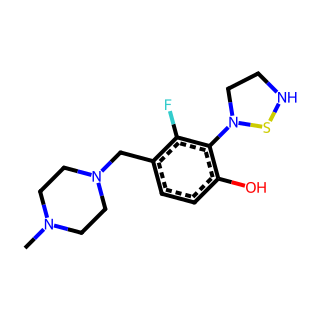 CN1CCN(Cc2ccc(O)c(N3CCNS3)c2F)CC1